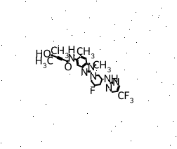 Cc1cc2c(cc1NC(=O)C#CC(C)(C)O)nc(N1C[C@H](F)C[C@@H](Nc3ncc(C(F)(F)F)cn3)C1)n2C